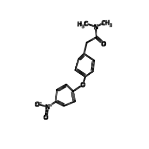 CN(C)C(=O)Cc1ccc(Oc2ccc([N+](=O)[O-])cc2)cc1